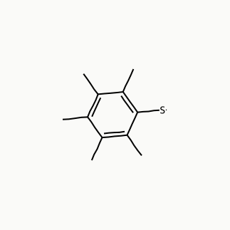 Cc1c(C)c(C)c([S])c(C)c1C